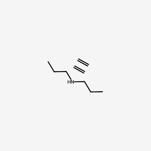 C=C.C=C.CCCNCCC